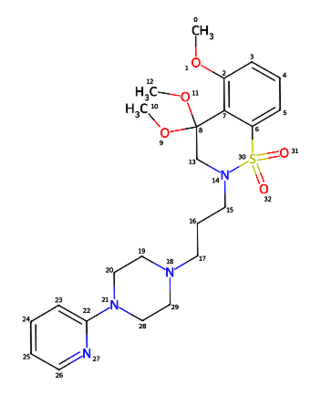 COc1cccc2c1C(OC)(OC)CN(CCCN1CCN(c3ccccn3)CC1)S2(=O)=O